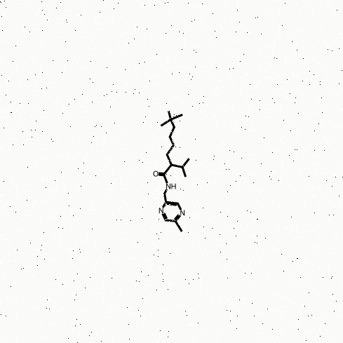 Cc1cnc(CNC(=O)C(CCCCC(C)(C)C)C(C)C)cn1